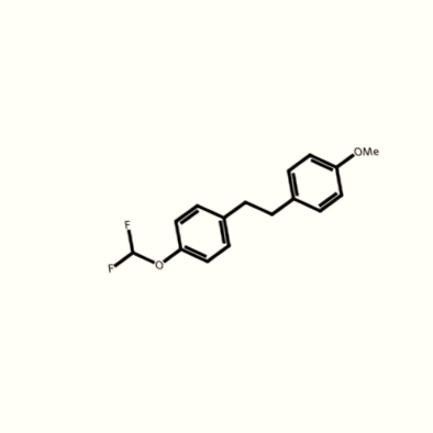 COc1ccc(CCc2ccc(OC(F)F)cc2)cc1